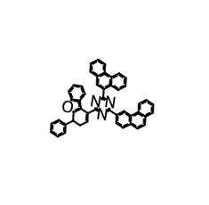 C1=C(c2nc(-c3ccc4ccc5ccccc5c4c3)nc(-c3cc4ccccc4c4ccccc34)n2)c2c(oc3ccccc23)C(c2ccccc2)C1